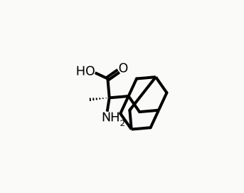 C[C@](N)(C(=O)O)C12CC3CC(CC(C3)C1)C2